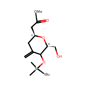 C=C1C[C@@H](CC(=O)OC)O[C@H](CO)C1O[Si](C)(C)C(C)(C)C